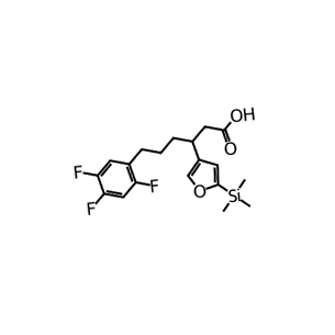 C[Si](C)(C)c1cc(C(CCCc2cc(F)c(F)cc2F)CC(=O)O)co1